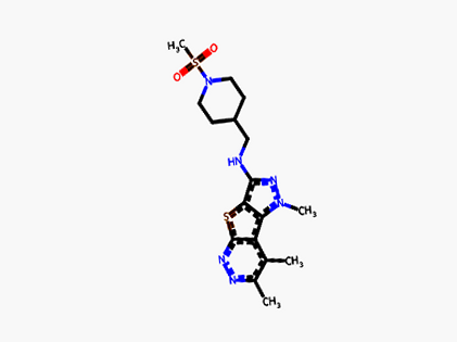 Cc1nnc2sc3c(NCC4CCN(S(C)(=O)=O)CC4)nn(C)c3c2c1C